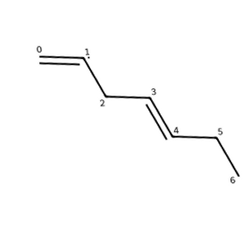 C=[C]CC=CCC